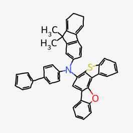 CC1(C)C2=CCCC=C2c2ccc(N(c3ccc(-c4ccccc4)cc3)c3cc4c5ccccc5oc4c4c3sc3ccccc34)cc21